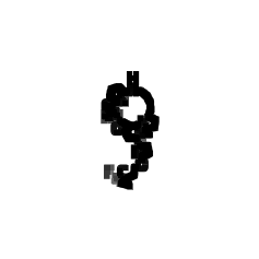 CC1(C)CCC2CCCCNc3cccc(n3)S(=O)(=O)NC(=O)c3ccc(-n4ccc(OCCC5(C(F)(F)F)CC5)n4)nc3N21